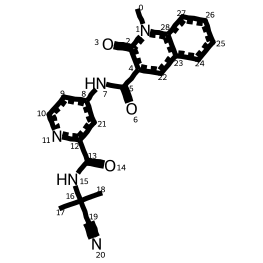 Cn1c(=O)c(C(=O)Nc2ccnc(C(=O)NC(C)(C)C#N)c2)cc2ccccc21